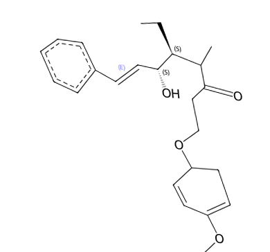 CC[C@@H](C(C)C(=O)CCOC1C=CC(OC)=CC1)[C@H](O)/C=C/c1ccccc1